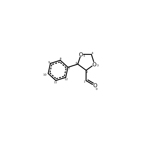 O=CC1OCOC1c1ccccc1